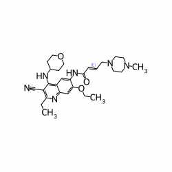 CCOc1cc2nc(CC)c(C#N)c(NC3CCOCC3)c2cc1NC(=O)/C=C/CN1CCN(C)CC1